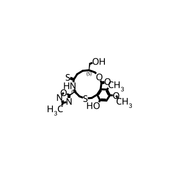 COc1cc(O)c2c(c1C)C(=O)OC[C@H](CO)CCC(=S)N[C@H](c1nc(C)no1)CSC2